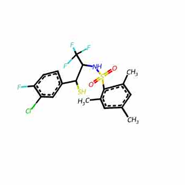 Cc1cc(C)c(S(=O)(=O)NC(C(S)c2ccc(F)c(Cl)c2)C(F)(F)F)c(C)c1